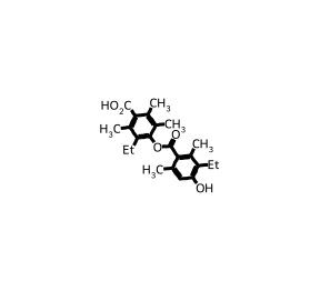 CCc1c(O)cc(C)c(C(=O)Oc2c(C)c(C)c(C(=O)O)c(C)c2CC)c1C